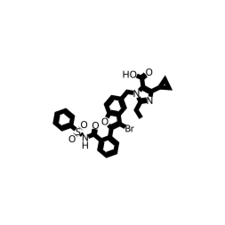 CCc1nc(C2CC2)c(C(=O)O)n1Cc1ccc2oc(-c3ccccc3C(=O)NS(=O)(=O)c3ccccc3)c(Br)c2c1